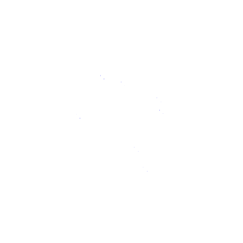 CC(NC(=O)N1CC[C@@]2(CCn3nc(-c4cnc(N)c(C(F)(F)F)c4)cc32)C1)c1ccncc1F